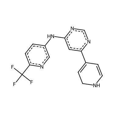 FC(F)(F)c1ccc(Nc2cc(C3=CCNC=C3)ncn2)cn1